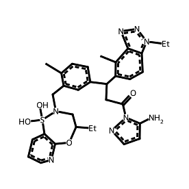 CCC1CN(Cc2cc(C(CC(=O)n3nccc3N)c3ccc4c(nnn4CC)c3C)ccc2C)S(O)(O)c2cccnc2O1